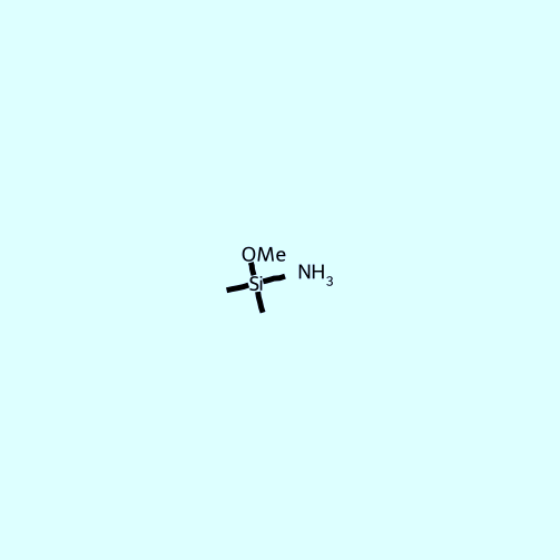 CO[Si](C)(C)C.N